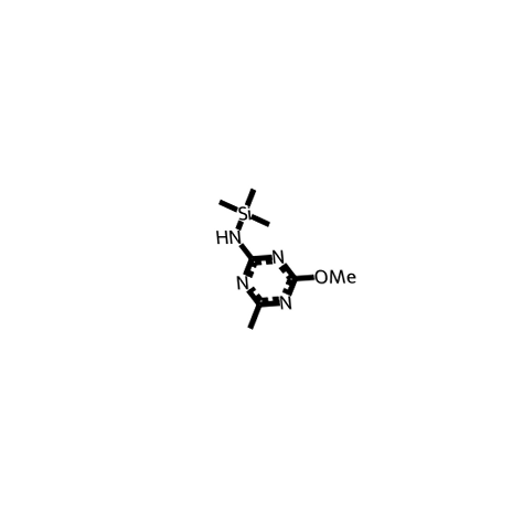 COc1nc(C)nc(N[Si](C)(C)C)n1